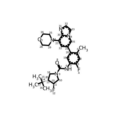 Cc1cc(F)c(NC(=O)N2C[C@@H](F)[C@H](C(C)(C)C)C2)cc1-c1cc(N2CCOCC2)c2nccn2c1